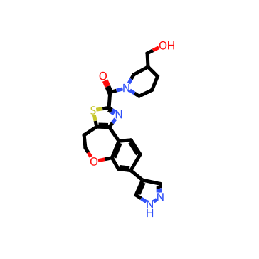 O=C(c1nc2c(s1)CCOc1cc(-c3cn[nH]c3)ccc1-2)N1CCCC(CO)C1